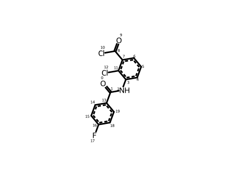 O=C(Nc1cccc(C(=O)Cl)c1Cl)c1ccc(F)cc1